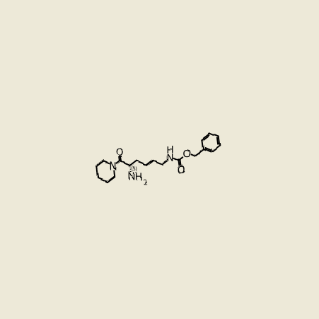 N[C@@H](CCCCNC(=O)OCc1ccccc1)C(=O)N1CCCCC1